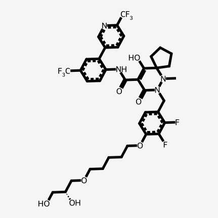 CN1N(Cc2ccc(OCCCCCOC[C@H](O)CO)c(F)c2F)C(=O)C(C(=O)Nc2ccc(C(F)(F)F)cc2-c2ccc(C(F)(F)F)nc2)=C(O)C12CCCC2